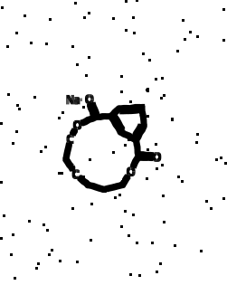 O=C1OCCCCCCOC(=O)c2cccc1c2.[Na]